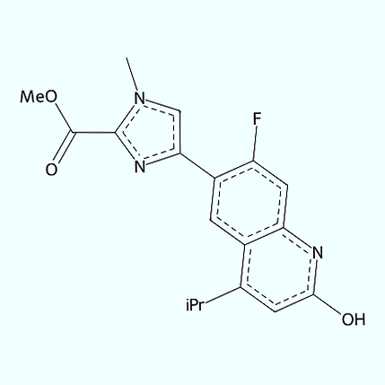 COC(=O)c1nc(-c2cc3c(C(C)C)cc(O)nc3cc2F)cn1C